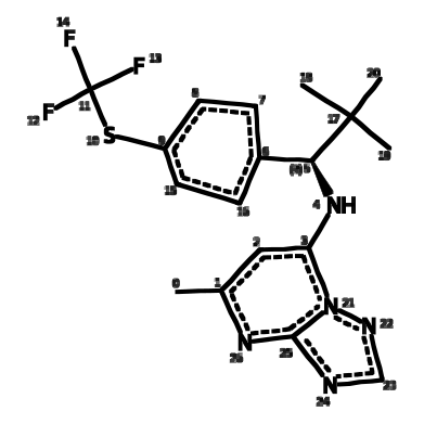 Cc1cc(N[C@@H](c2ccc(SC(F)(F)F)cc2)C(C)(C)C)n2ncnc2n1